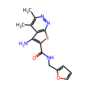 Cc1nnc2sc(C(=O)NCc3ccco3)c(N)c2c1C